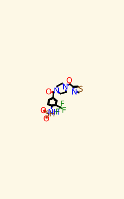 O=C(c1ccc(N[SH](=O)=O)c(C(F)(F)F)c1)N1CCN(C(=O)c2cscn2)CC1